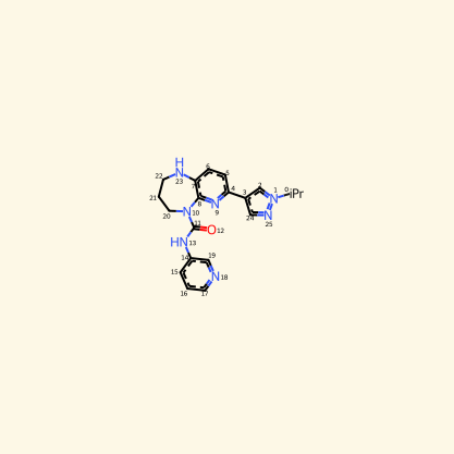 CC(C)n1cc(-c2ccc3c(n2)N(C(=O)Nc2cccnc2)CCCN3)cn1